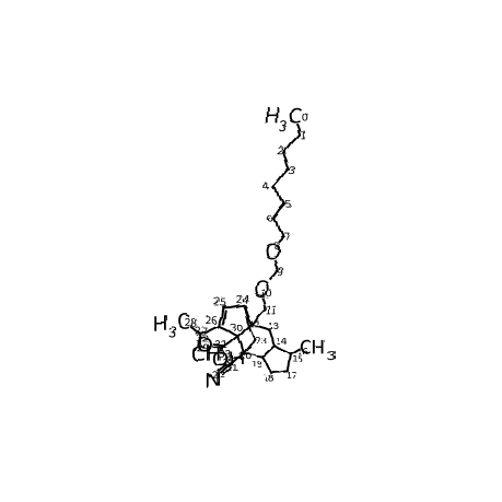 CCCCCCCCOCOCC12CC3C(C)CCC3C3(C#N)CC1C=C(C(C)C)C32C(=O)O